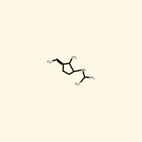 C/C=C1\CCC(NC(C)C)C1C